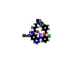 COc1cc2ncnc(Nc3cccc(Cl)c3OCc3cccc(F)c3)c2cc1NC(=O)C(F)=CCN(C)C